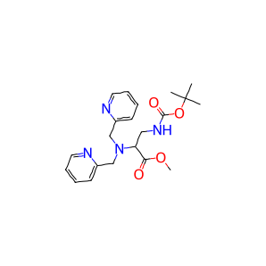 COC(=O)C(CNC(=O)OC(C)(C)C)N(Cc1ccccn1)Cc1ccccn1